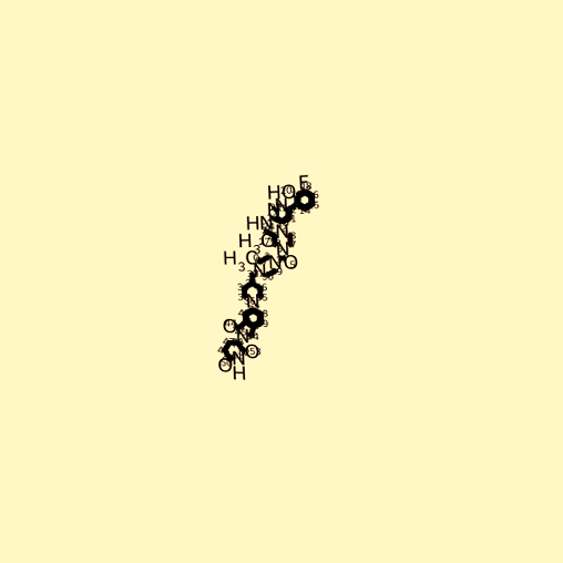 C[C@H]1CN(C(=O)N2CCN3c4cc(-c5cccc(F)c5O)nnc4NCC3(C)C2)CCN1CC1CCN(c2ccc3c(c2)C(=O)N([C@H]2CCC(=O)NC2=O)C3)CC1